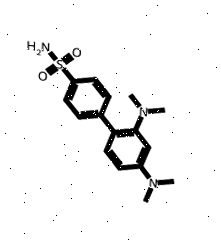 CN(C)c1ccc(-c2ccc(S(N)(=O)=O)cc2)c(N(C)C)c1